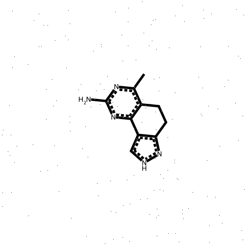 Cc1nc(N)nc2c1CCc1n[nH]cc1-2